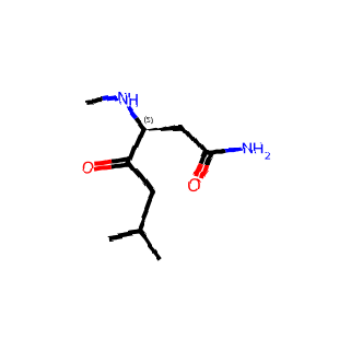 CN[C@@H](CC(N)=O)C(=O)CC(C)C